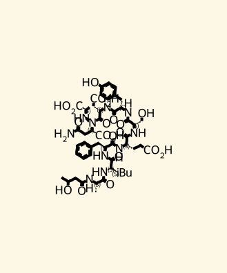 CC[C@H](C)[C@H](NC(=O)[C@H](C)NC(=O)CC(C)O)C(=O)N[C@@H](Cc1ccccc1)C(=O)N[C@@H](CCC(=O)O)C(=O)N[C@@H](CO)C(=O)N[C@@H](Cc1ccc(O)cc1)C(=O)N[C@@H](CC(=O)O)C(=O)N(N[C@@H](C)C(=O)O)[C@@H](CC(N)=O)C(=O)O